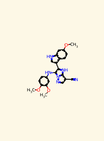 COc1ccc2c(-c3[nH]c4c(C#N)cnn4c3Nc3ccc(OC)c(OC)c3)c[nH]c2c1